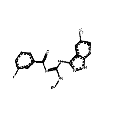 CC(C)N/C(=N/C(=O)c1cccc(F)c1)Nc1n[nH]c2ccc(C(F)(F)F)cc12